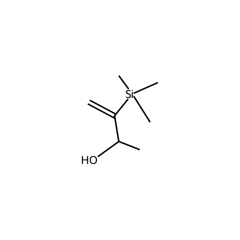 C=C(C(C)O)[Si](C)(C)C